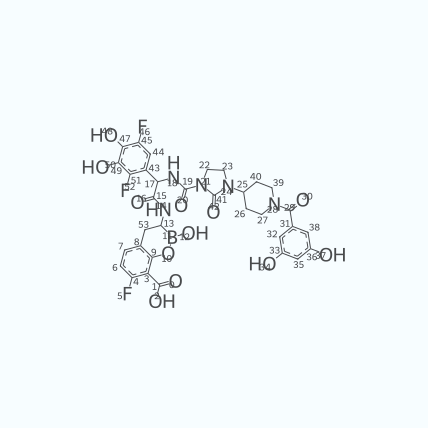 O=C(O)c1c(F)ccc2c1OB(O)C(NC(=O)C(NC(=O)N1CCN(C3CCN(C(=O)c4cc(O)cc(O)c4)CC3)C1=O)c1cc(F)c(O)c(O)c1F)C2